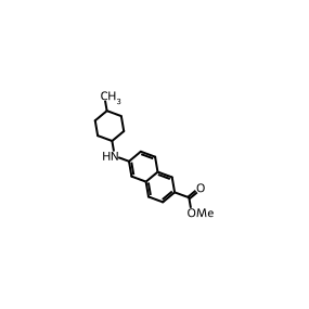 COC(=O)c1ccc2cc(NC3CCC(C)CC3)ccc2c1